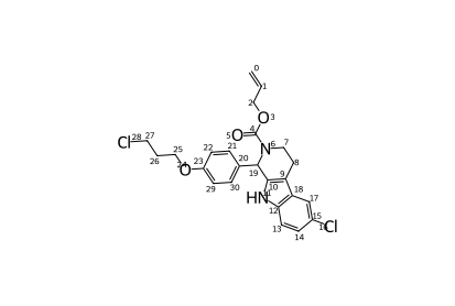 C=CCOC(=O)N1CCc2c([nH]c3ccc(Cl)cc23)C1c1ccc(OCCCCl)cc1